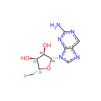 Nc1ncc2ncn([C@@H]3O[C@H](CI)[C@@H](O)[C@H]3O)c2n1